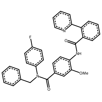 COc1cc(C(=O)N(Cc2ccccc2)c2ccc(F)cc2)ccc1NC(=O)c1ccccc1-c1ccccn1